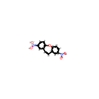 O=[N+]([O-])c1ccc2c(c1)C=Cc1cc([N+](=O)[O-])ccc1O2